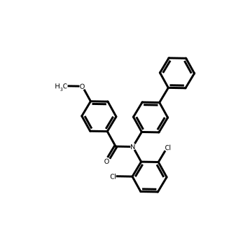 COc1ccc(C(=O)N(c2ccc(-c3ccccc3)cc2)c2c(Cl)cccc2Cl)cc1